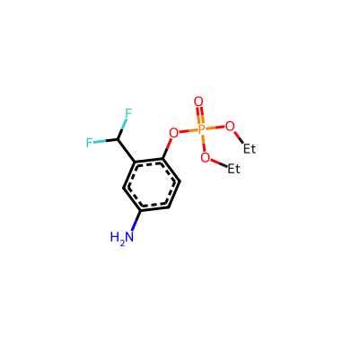 CCOP(=O)(OCC)Oc1ccc(N)cc1C(F)F